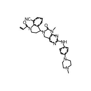 C=CC(=O)N1CCC(N2Cc3cnc(Nc4ccc(N5CCN(C)CC5)cc4)nc3N(C)C2=O)c2cccc(C#N)c21